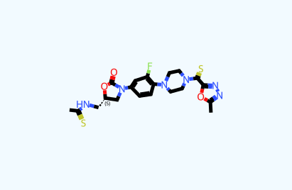 CC(=S)NC[C@H]1CN(c2ccc(N3CCN(C(=S)c4nnc(C)o4)CC3)c(F)c2)C(=O)O1